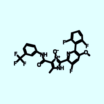 COc1cc(F)c(-c2[nH]c(C)c(C(=O)Nc3cccc(C(F)(F)F)c3)[n+]2[O-])nc1-c1c(F)cccc1F